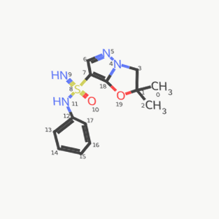 CC1(C)Cn2ncc(S(=N)(=O)Nc3ccccc3)c2O1